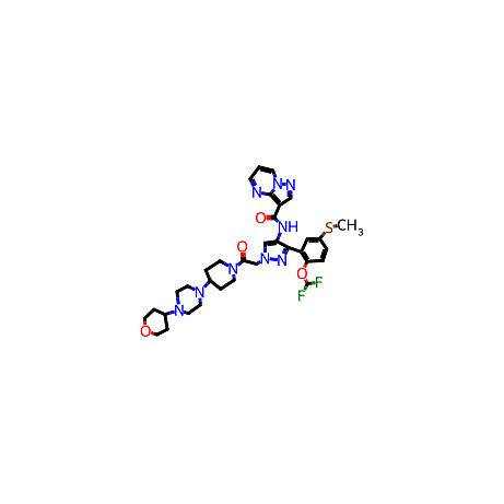 CSc1ccc(OC(F)F)c(-c2nn(CC(=O)N3CCC(N4CCN(C5CCOCC5)CC4)CC3)cc2NC(=O)c2cnn3cccnc23)c1